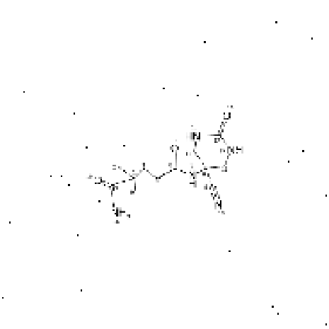 CC(C)(C[CH]C(=O)NC1(C#N)CNC(=O)NC1)C(N)=O